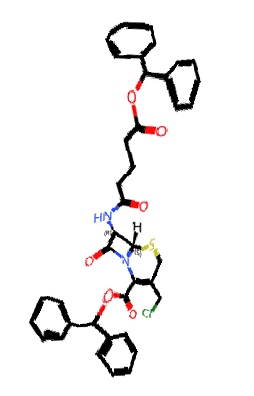 O=C(CCCC(=O)OC(c1ccccc1)c1ccccc1)N[C@@H]1C(=O)N2C(C(=O)OC(c3ccccc3)c3ccccc3)=C(CCl)CS[C@@H]12